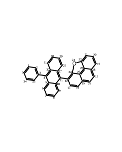 c1ccc(-c2c3ccccc3c(-c3ccc4ccc5cccc6oc3c4c56)c3ccccc23)cc1